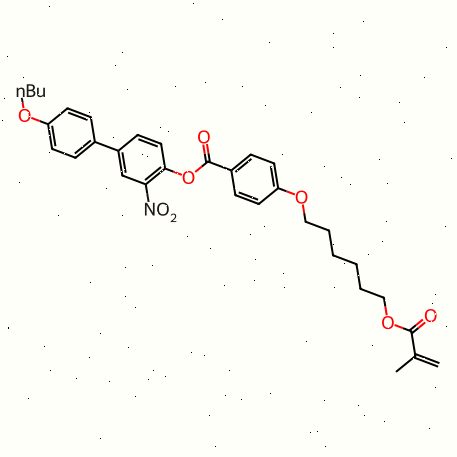 C=C(C)C(=O)OCCCCCCOc1ccc(C(=O)Oc2ccc(-c3ccc(OCCCC)cc3)cc2[N+](=O)[O-])cc1